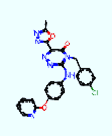 Cc1nnc(-c2nnc(Nc3ccc(Oc4ccccn4)cc3)n(Cc3ccc(Cl)cc3)c2=O)o1